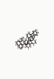 c1ccc(-c2ccccc2N(c2ccc3c(c2)C2(CC2)c2cccc4cccc-3c24)c2cccc3c2oc2ccccc23)cc1